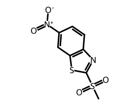 CS(=O)(=O)c1nc2ccc([N+](=O)[O-])cc2s1